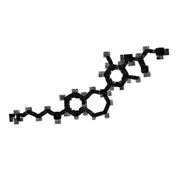 Cc1cc(N2CCCc3cc(OCCCC(F)(F)F)ccc3C2)cc(C)c1NC(=O)CC(C)(C)C